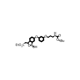 CCOC(=O)CC1OB(O)c2cc(Oc3cccc(OCCCNC(=O)OC(C)(C)C)c3)ccc21